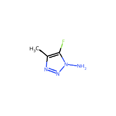 Cc1nnn(N)c1F